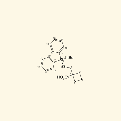 CC(C)(C)[Si](OCC1(C(=O)O)CCC1)(c1ccccc1)c1ccccc1